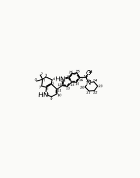 CC1(C)CCC2=C(C1)NCC=C2c1cc2cc(C(=O)N3CCCCC3)ccc2[nH]1